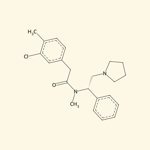 Cc1ccc(CC(=O)N(C)[C@H](CN2CCCC2)c2ccccc2)cc1Cl